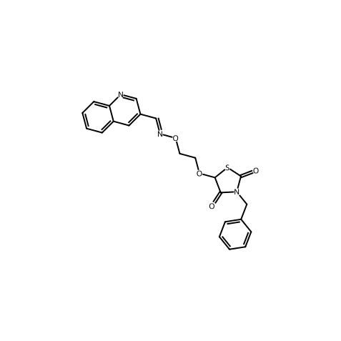 O=C1SC(OCCON=Cc2cnc3ccccc3c2)C(=O)N1Cc1ccccc1